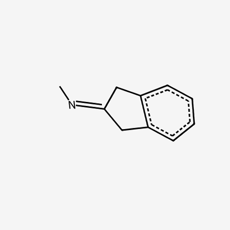 CN=C1Cc2ccccc2C1